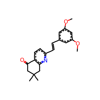 COc1cc(/C=C/c2ccc3c(n2)CC(C)(C)CC3=O)cc(OC)c1